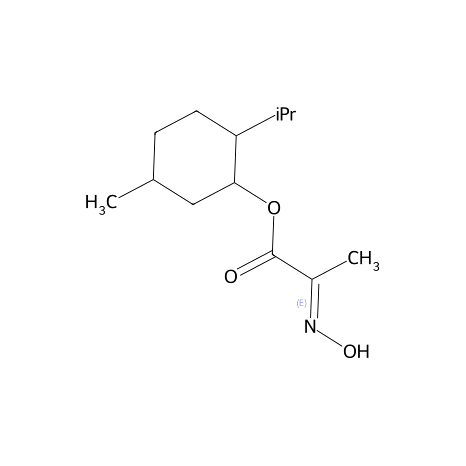 C/C(=N\O)C(=O)OC1CC(C)CCC1C(C)C